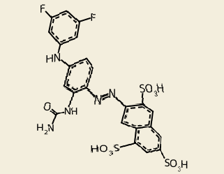 NC(=O)Nc1cc(Nc2cc(F)cc(F)c2)ccc1/N=N/c1cc2c(S(=O)(=O)O)cc(S(=O)(=O)O)cc2cc1S(=O)(=O)O